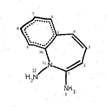 NC1=CC=Cc2ccccc2N1N